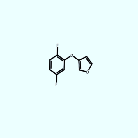 Fc1ccc(F)c(Oc2c[c]oc2)c1